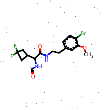 COc1cc(CCNC(=O)C(NC=O)C2CC(F)(F)C2)ccc1Br